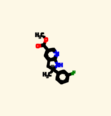 COC(=O)c1cnc2c(c1)C[C@@](C)(c1cccc(F)c1)N2